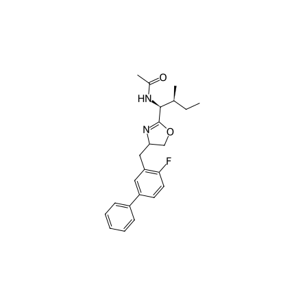 CC[C@H](C)[C@H](NC(C)=O)C1=NC(Cc2cc(-c3ccccc3)ccc2F)CO1